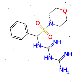 N=C(N)NC(=N)NC(c1ccccc1)S(=O)(=O)N1CCOCC1